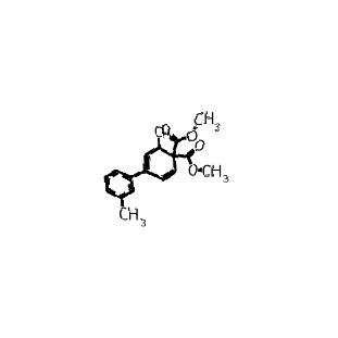 COC(=O)C1(C(=O)OC)C=CC(c2cccc(C)c2)=CC1C